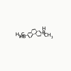 CBc1ccc2c(ccc3cc(BC)ccc32)c1